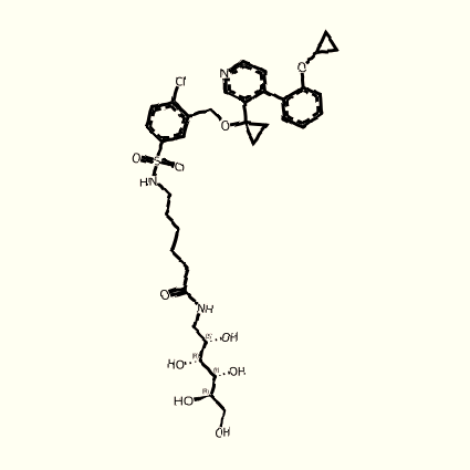 O=C(CCCCCNS(=O)(=O)c1ccc(Cl)c(COC2(c3cnccc3-c3ccccc3OC3CC3)CC2)c1)NC[C@H](O)[C@@H](O)[C@H](O)[C@H](O)CO